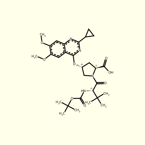 COc1cc2nc(C3CC3)nc(O[C@@H]3C[C@@H](C(=O)O)N(C(=O)[C@@H](NC(=O)OC(C)(C)C)C(C)(C)C)C3)c2cc1OC